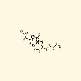 CCCCCC/C=C\C(CCCCC)NC(C)=O